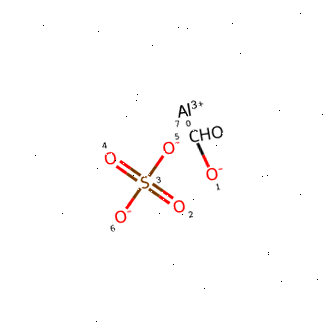 O=C[O-].O=S(=O)([O-])[O-].[Al+3]